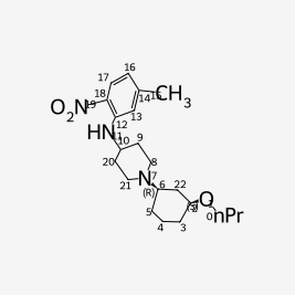 CCCO[C@H]1CCC[C@@H](N2CCC(Nc3cc(C)ccc3[N+](=O)[O-])CC2)C1